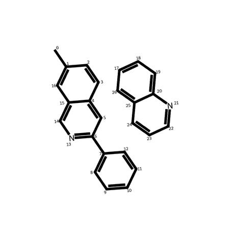 Cc1ccc2cc(-c3ccccc3)ncc2c1.c1ccc2ncccc2c1